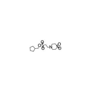 O=S1(=O)CCN(CCS(=O)(=O)OCC2CCCC2)CC1